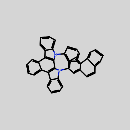 c1ccc(-n2c3ccccc3c3c4ccccc4c4c5ccccc5n(-c5ccc6c(ccc7ccccc76)c5)c4c32)cc1